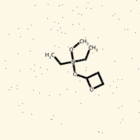 CC[Si](CC)(OC)OC1CCO1